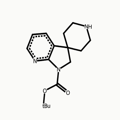 CC(C)(C)OC(=O)N1CC2(CCNCC2)c2cccnc21